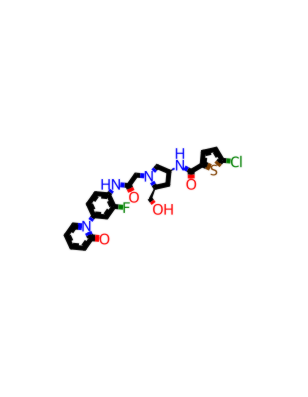 O=C(CN1C[C@H](NC(=O)c2ccc(Cl)s2)C[C@H]1CO)Nc1ccc(-n2ccccc2=O)cc1F